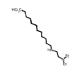 CCN(CC)CCNCCCCCCCCCCCC(=O)O